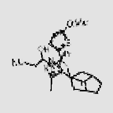 COc1ccc([C@H](CCN2C3CCC2CC(n2c(C)nnc2C(C)C)C3)NC(O)CC#N)s1